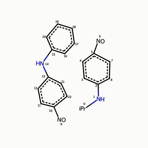 CC(C)Nc1ccc(N=O)cc1.O=Nc1ccc(Nc2ccccc2)cc1